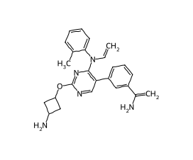 C=CN(c1ccccc1C)c1nc(OC2CC(N)C2)ncc1-c1cccc(C(=C)N)c1